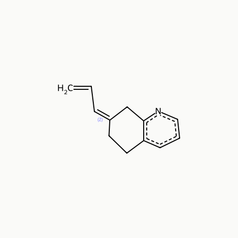 C=C/C=C1/CCc2cccnc2C1